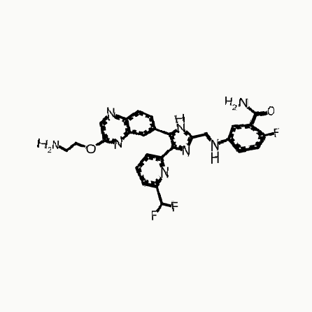 NCCOc1cnc2ccc(-c3[nH]c(CNc4ccc(F)c(C(N)=O)c4)nc3-c3cccc(C(F)F)n3)cc2n1